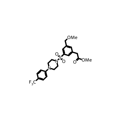 COCc1cc(CC(=O)OC)cc(S(=O)(=O)N2CCN(c3ccc(C(F)(F)F)cc3)CC2)c1